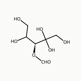 O=CO[C@@H](C(O)CO)C(O)(O)CO